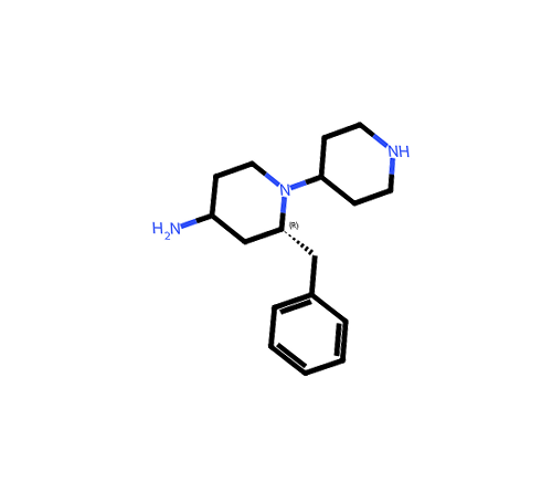 NC1CCN(C2CCNCC2)[C@H](Cc2ccccc2)C1